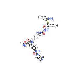 Cc1nnc(-c2cc(-c3ccc(NC(=O)N4Cc5ccncc5C4)cc3)nn(CCCCCCNC(=O)CNC(=O)CC(CSC[C@H](N)C(=O)O)C(=O)O)c2=O)o1